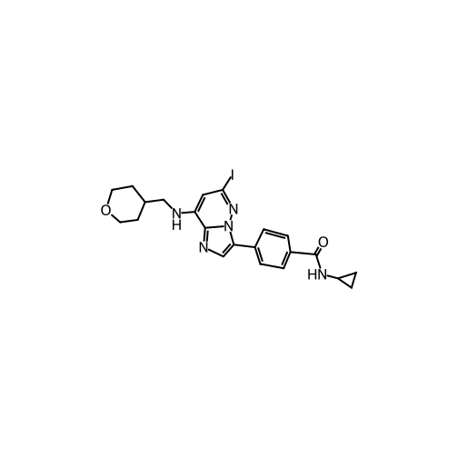 O=C(NC1CC1)c1ccc(-c2cnc3c(NCC4CCOCC4)cc(I)nn23)cc1